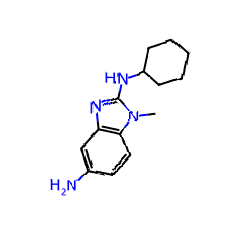 Cn1c(NC2CCCCC2)nc2cc(N)ccc21